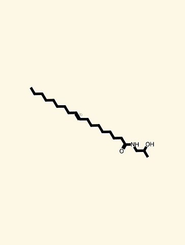 CCCCCCCC/C=C/CCCCCCCC(=O)NCC(C)O